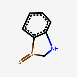 S=S1CNc2ccccc21